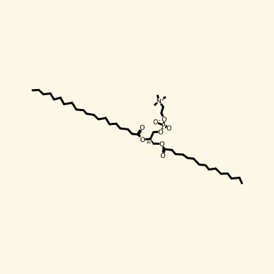 CCCCCCCCCCCCCCCCCCCC(=O)O[C@H](COC(=O)CCCCCCCCCCCCCC)COP(=O)([O-])OCC[N+](C)(C)C